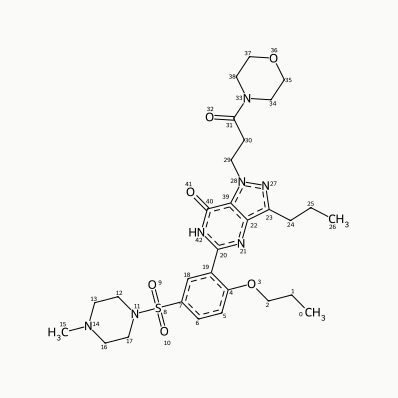 CCCOc1ccc(S(=O)(=O)N2CCN(C)CC2)cc1-c1nc2c(CCC)nn(CCC(=O)N3CCOCC3)c2c(=O)[nH]1